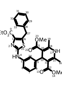 CCOC(=O)c1nc(Nc2cccc(C3C(C(=O)OC)=C(C)NC(C)=C3C(=O)OC)c2)sc1Cc1ccccc1